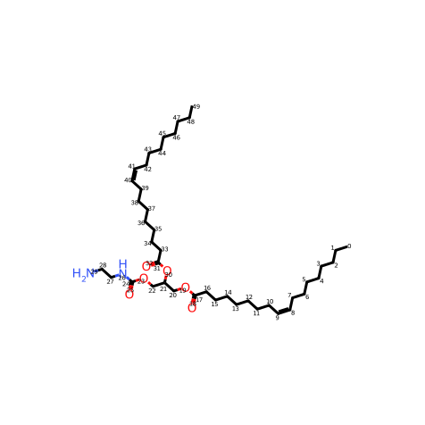 CCCCCCCC/C=C\CCCCCCCC(=O)OCC(COC(=O)NCCN)OC(=O)CCCCCCC/C=C\CCCCCCCC